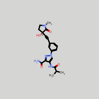 CC(C)C(=O)Nc1cn(-c2cccc(C#C[C@]3(O)CCN(C)C3=O)c2)nc1C(N)=O